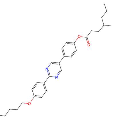 CCCCCCCOc1ccc(-c2ncc(-c3ccc(OC(=O)CCC(C)CCC)cc3)cn2)cc1